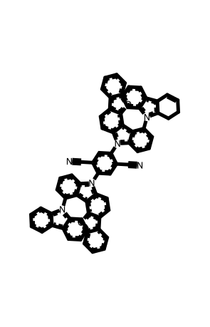 N#Cc1cc(-n2c3cccc(-n4c5ccccc5c5ccccc54)c3c3c4oc5ccccc5c4ccc32)c(C#N)cc1-n1c2cccc(-n3c4c(c5ccccc53)C=CCC4)c2c2c3oc4ccccc4c3ccc21